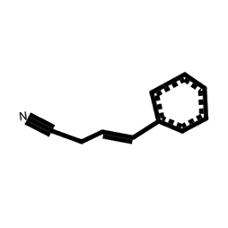 N#CC/C=C/c1ccccc1